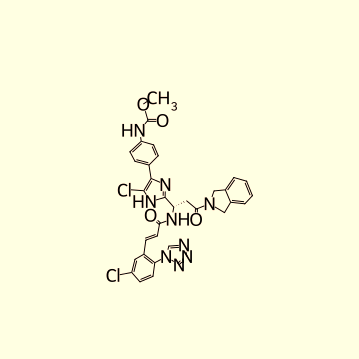 COC(=O)Nc1ccc(-c2nc([C@H](CC(=O)N3Cc4ccccc4C3)NC(=O)C=Cc3cc(Cl)ccc3-n3cnnn3)[nH]c2Cl)cc1